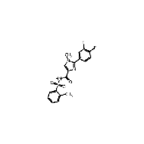 Cc1ccccc1S(=O)(=O)NC(=O)c1cn(C)c(-c2ccc(F)c(F)c2)n1